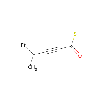 CCC(C)C#CC(=O)[S]